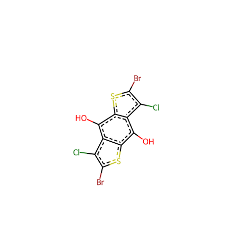 Oc1c2sc(Br)c(Cl)c2c(O)c2sc(Br)c(Cl)c12